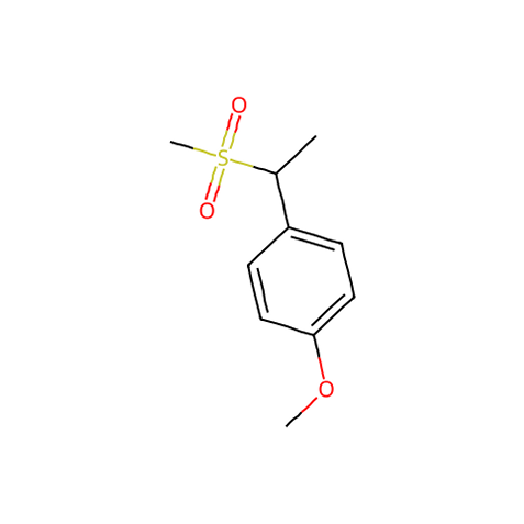 COc1ccc(C(C)S(C)(=O)=O)cc1